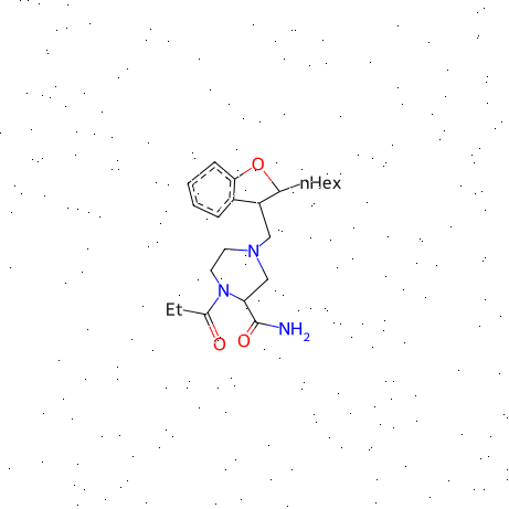 CCCCCCC1Oc2ccccc2C1CN1CCN(C(=O)CC)C(C(N)=O)C1